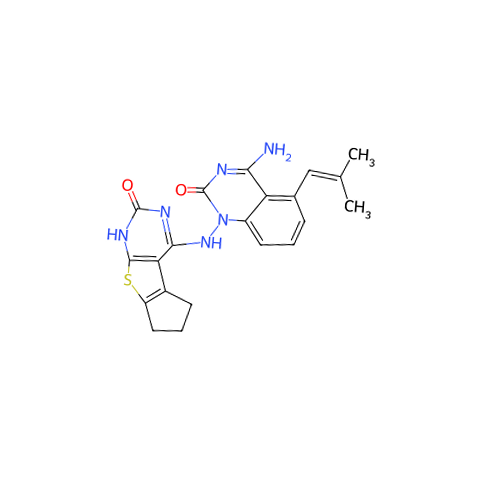 CC(C)=Cc1cccc2c1c(N)nc(=O)n2Nc1nc(=O)[nH]c2sc3c(c12)CCC3